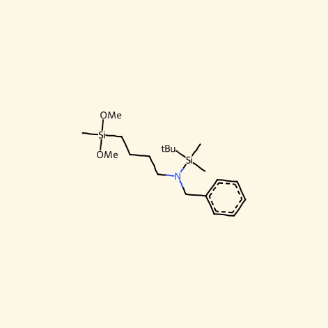 CO[Si](C)(CCCCN(Cc1ccccc1)[Si](C)(C)C(C)(C)C)OC